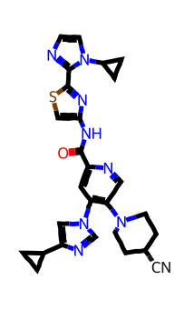 N#CC1CCN(c2cnc(C(=O)Nc3csc(-c4nccn4C4CC4)n3)cc2-n2cnc(C3CC3)c2)CC1